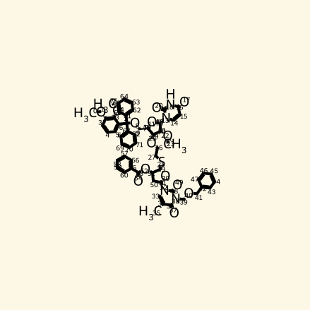 COc1cccc(C(OC[C@H]2O[C@@H](n3ccc(=O)[nH]c3=O)[C@H](OC)[C@@H]2OCCSC2OC(n3cc(C)c(=O)n(COCc4ccccc4)c3=O)CC2OC(=O)c2ccccc2)(c2ccccc2)c2ccccc2)c1OC